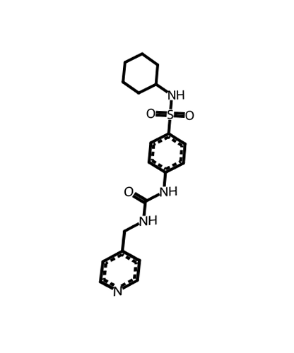 O=C(NCc1ccncc1)Nc1ccc(S(=O)(=O)NC2CCCCC2)cc1